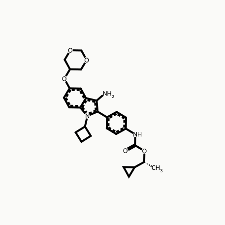 C[C@@H](OC(=O)Nc1ccc(-c2c(N)c3cc(OC4COCOC4)ccc3n2C2CCC2)cc1)C1CC1